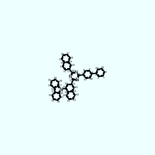 c1ccc(-c2ccc(-c3nc(-c4ccc5ccccc5c4)nc(-c4cc(-n5c6ccccc6c6ccccc65)c5ccccc5c4)n3)cc2)cc1